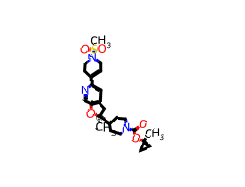 CC1(OC(=O)N2CCC([C@]3(C)Cc4cc(C5=CCN(S(C)(=O)=O)CC5)ncc4O3)CC2)CC1